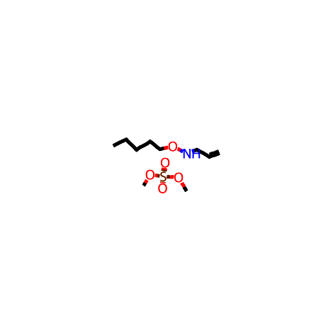 C=CCNOCCCCC.COS(=O)(=O)OC